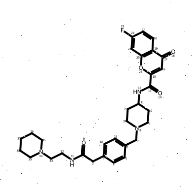 O=C(Cc1ccc(CN2CCC(NC(=O)c3cc(=O)c4ccc(F)cc4o3)CC2)cc1)NCCN1CCCCC1